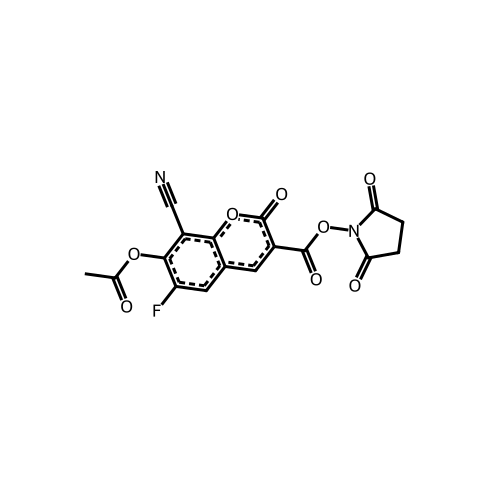 CC(=O)Oc1c(F)cc2cc(C(=O)ON3C(=O)CCC3=O)c(=O)oc2c1C#N